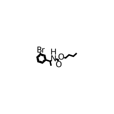 CCCCOC(=O)NC(C)c1cccc(Br)c1